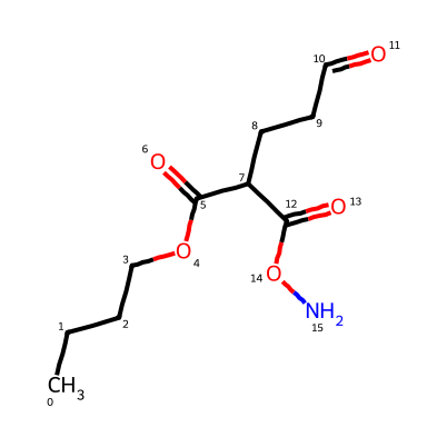 CCCCOC(=O)C(CCC=O)C(=O)ON